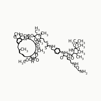 COc1cc2cc(c1Cl)N(C)C(=O)C[C@H](OC(=O)[C@H](C)N(C)C(=O)CCSC(=S)NCc1ccc(NC(=O)[C@H](CCCNCOCN)NC(=O)[C@@H](NC(=O)OC(C)(C)C)C(C)C)cc1)[C@]1(C)O[C@H]1[C@H](C)[C@@H]1C[C@@](O)(NC(=O)O1)[C@H](OC)/C=C/C=C(\C)C2